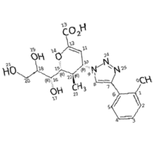 Cc1ccccc1-c1cn([C@H]2C=C(C(=O)O)O[C@@H]([C@H](O)C(O)CO)[C@@H]2C)nn1